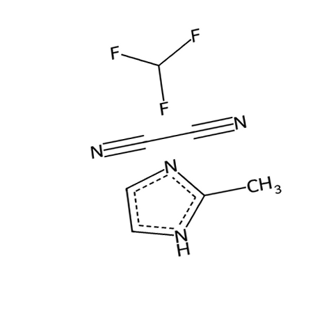 Cc1ncc[nH]1.FC(F)F.N#CC#N